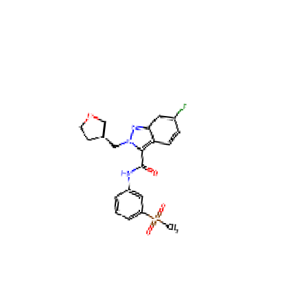 CS(=O)(=O)c1cccc(NC(=O)c2c3ccc(F)cc3nn2C[C@H]2CCOC2)c1